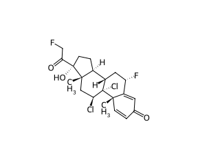 C[C@]12C=CC(=O)C=C1[C@@H](F)C[C@H]1[C@@H]3CC[C@](O)(C(=O)CF)[C@@]3(C)C[C@H](Cl)[C@@]12Cl